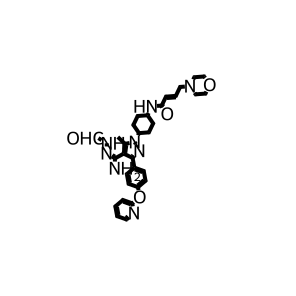 Cc1c(/C(N)=N\NC=O)c(-c2ccc(Oc3ccccn3)cc2)nn1C1CCC(NC(=O)/C=C/CN2CCOCC2)CC1